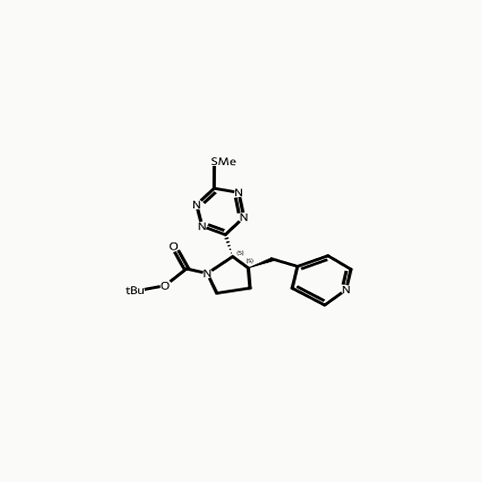 CSc1nnc([C@@H]2[C@@H](Cc3ccncc3)CCN2C(=O)OC(C)(C)C)nn1